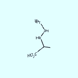 CC(C)BBC(C)C(=O)O